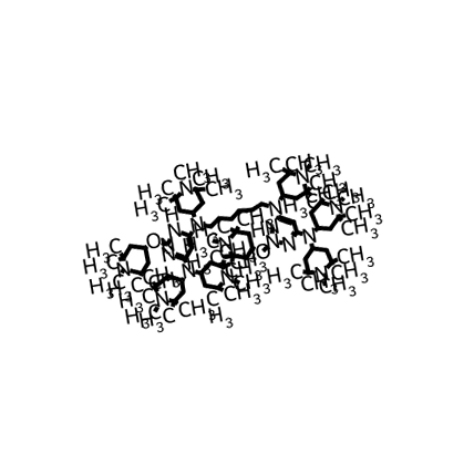 CN1C(C)(C)CC(ON2N=C(N(C3CC(C)(C)N(C)C(C)(C)C3)C3CC(C)(C)N(C)C(C)(C)C3)C=C(N(CCCCCCN(C3=CC(N(C4CC(C)(C)N(C)C(C)(C)C4)C4CC(C)(C)N(C)C(C)(C)C4)=NN(OC4CC(C)(C)N(C)C(C)(C)C4)N3)C3CC(C)(C)N(C)C(C)(C)C3)C3CC(C)(C)N(C)C(C)(C)C3)N2)CC1(C)C